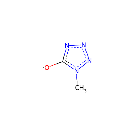 Cn1nnnc1[O]